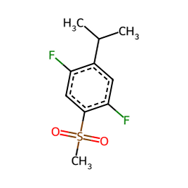 CC(C)c1cc(F)c(S(C)(=O)=O)cc1F